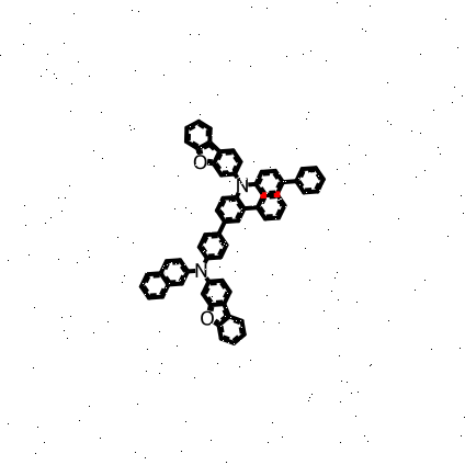 c1ccc(-c2ccc(N(c3ccc4c(c3)oc3ccccc34)c3ccc(-c4ccc(N(c5ccc6ccccc6c5)c5ccc6c(c5)oc5ccccc56)cc4)cc3-c3ccccc3)cc2)cc1